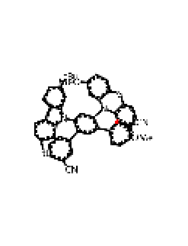 COc1ccc2c(c1)N(c1cc(-n3c4cc(C(C)(C)C)ccc4c4ccc(C(C)(C)C)cc43)c(-c3cccc(C#N)c3)cc1-c1cccc(C#N)c1)c1cc(OC)ccc1S2